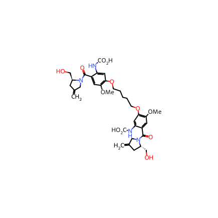 C=C1C[C@@H](CO)N(C(=O)c2cc(OC)c(OCCCCCOc3cc(NC(=O)O)c(C(=O)N4CC(=C)C[C@H]4CO)cc3OC)cc2NC(=O)O)C1